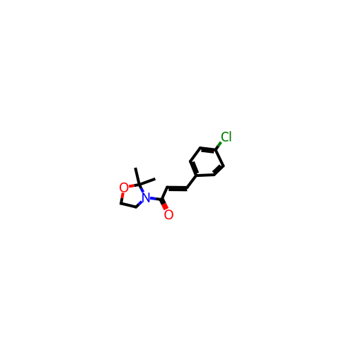 CC1(C)OCCN1C(=O)/C=C/c1ccc(Cl)cc1